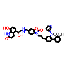 O=C(O)N(c1cc(CCCn2c(=O)oc3cc(CNC[C@H](O)c4ccc(O)c5[nH]c(=O)ccc45)ccc32)ccc1-c1ccccc1)C1CN2CCC1CC2